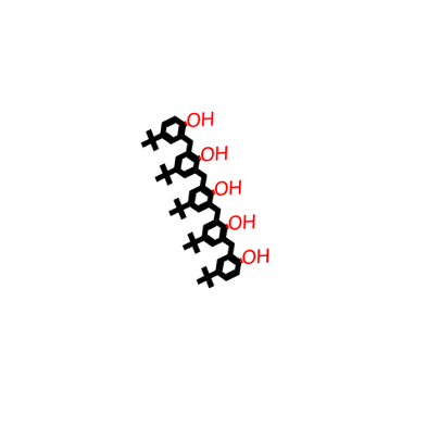 CC(C)(C)c1ccc(O)c(Cc2cc(C(C)(C)C)cc(Cc3cc(C(C)(C)C)cc(Cc4cc(C(C)(C)C)cc(Cc5cc(C(C)(C)C)ccc5O)c4O)c3O)c2O)c1